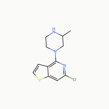 CC1CN(c2nc(Cl)cc3sccc23)CCN1